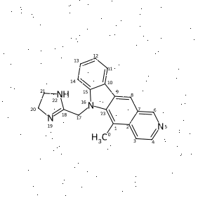 Cc1c2ccncc2cc2c3ccccc3n(CC3=NCCN3)c12